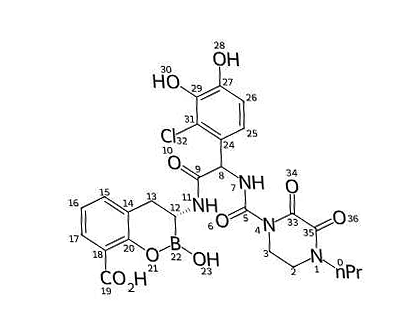 CCCN1CCN(C(=O)NC(C(=O)N[C@H]2Cc3cccc(C(=O)O)c3OB2O)c2ccc(O)c(O)c2Cl)C(=O)C1=O